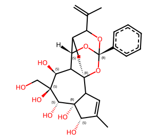 C=C(C)C1O[C@@]2(c3ccccc3)O[C@H]3C1CC[C@@]1(O2)C3[C@H](O)[C@@](O)(CO)[C@@H](O)[C@@]2(O)C1C=C(C)[C@@H]2O